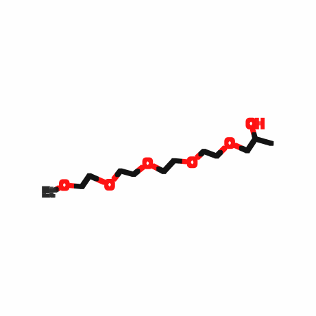 CCOCCOCCOCCOCCOCC(C)O